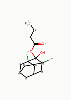 CCCC(=O)OC1(O)C2(F)CC3CC(C2)CC1(F)C3